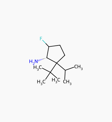 CC(C)C1(C(C)(C)C)CCC(F)[C@H]1N